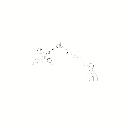 Cc1c(C#Cc2cnn(CCCC(=O)OCCOCCOCCOc3cccc4c3CN(C3CCC(=O)NC3=O)C4=O)c2)sc2c1C(c1ccc(Cl)cc1)=N[C@@H](CC(=O)N1CCN(C)CC1)c1nnc(C)n1-2